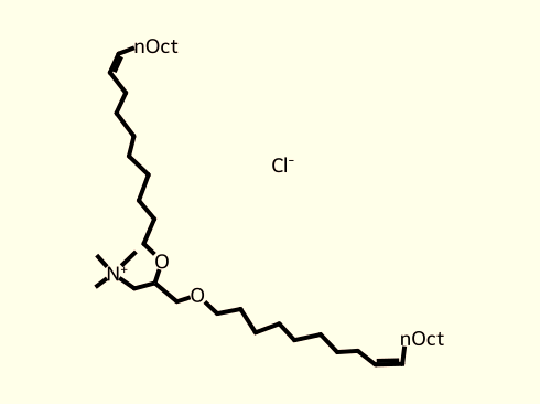 CCCCCCCC/C=C\CCCCCCCCOCC(C[N+](C)(C)C)OCCCCCCCC/C=C\CCCCCCCC.[Cl-]